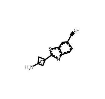 C#Cc1ccc2nc(C34CC(N)(C3)C4)sc2c1